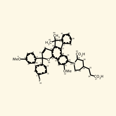 COc1ccc(C2(c3ccc(F)cc3)C=Cc3c4c(c5cc(N6CCC(CCC(=O)O)CC6C(=O)O)c(OC)cc5c3O2)-c2ccccc2C4(C)C)cc1